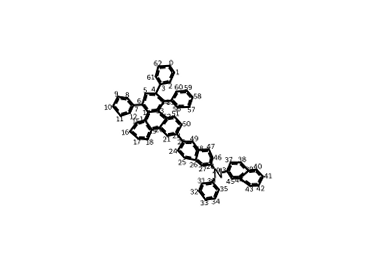 c1ccc(-c2cc(-c3ccccc3)c3c4ccccc4c4cc(-c5ccc6cc(N(c7ccccc7)c7ccc8ccccc8c7)ccc6c5)ccc4c3c2-c2ccccc2)cc1